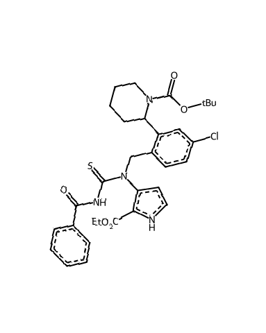 CCOC(=O)c1[nH]ccc1N(Cc1ccc(Cl)cc1C1CCCCN1C(=O)OC(C)(C)C)C(=S)NC(=O)c1ccccc1